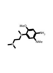 CNc1cc(N(C)CCN(C)C)c(OC)cc1N